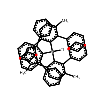 Cc1ccc(-c2ccccc2)c([Si](Cl)(c2c(-c3ccccc3)ccc(C)c2-c2ccccc2)c2c(-c3ccccc3)ccc(C)c2-c2ccccc2)c1-c1ccccc1